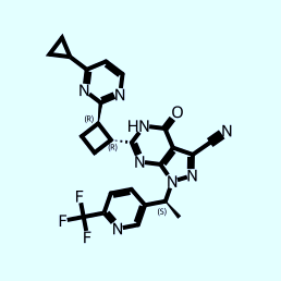 C[C@@H](c1ccc(C(F)(F)F)nc1)n1nc(C#N)c2c(=O)[nH]c([C@@H]3CC[C@H]3c3nccc(C4CC4)n3)nc21